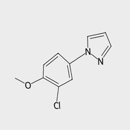 COc1ccc(-n2cccn2)cc1Cl